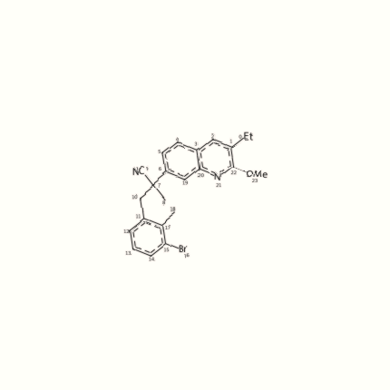 CCc1cc2ccc(C(C)(C#N)Cc3cccc(Br)c3C)cc2nc1OC